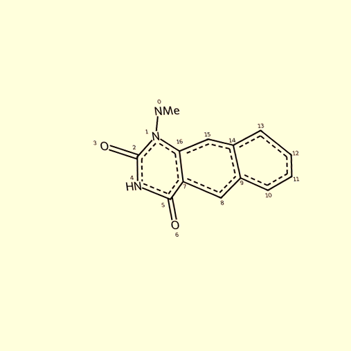 CNn1c(=O)[nH]c(=O)c2cc3ccccc3cc21